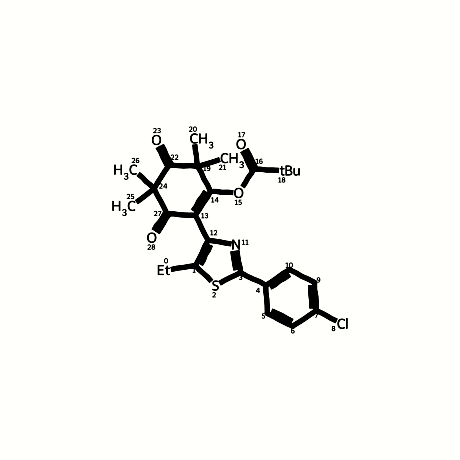 CCc1sc(-c2ccc(Cl)cc2)nc1C1=C(OC(=O)C(C)(C)C)C(C)(C)C(=O)C(C)(C)C1=O